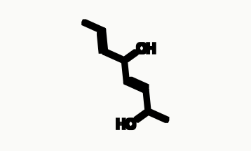 CC=CC(O)C=CC(C)O